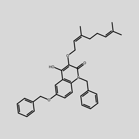 CC(C)=CCCC(C)=CCOc1c(O)c2cc(OCc3ccccc3)ccc2n(Cc2ccccc2)c1=O